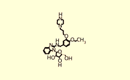 CCOc1ccc(CNc2nc3ccccc3n2[C@@H]2O[C@H](CO)[C@@H](O)[C@H]2O)cc1OCCCN1CCNCC1